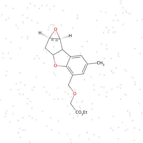 CCOC(=O)COCc1cc(C)cc2c1OC1C[C@H]3O[C@H]3C21